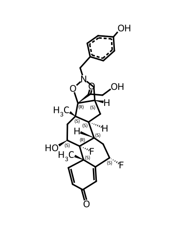 C[C@]12C=CC(=O)C=C1[C@@H](F)C[C@H]1[C@@H]3C[C@H]4CN(Cc5ccc(O)cc5)O[C@@]4(C(=O)CO)[C@@]3(C)C[C@H](O)[C@@]12F